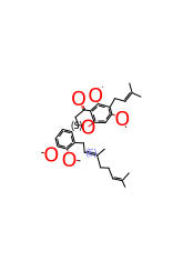 COc1cc2c(c(OC)c1CC=C(C)C)C(=O)C[C@@H](c1ccc(OC)c(OC)c1C/C=C(\C)CCC=C(C)C)O2